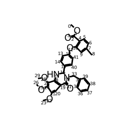 COC(=O)c1ccc(C)cc1Oc1ccc(C2Nc3c(cc(OC)c(OC)c3OC)C(=O)N2Cc2ccccc2)cc1